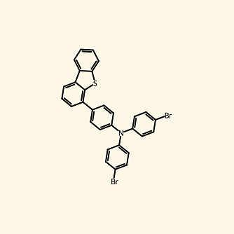 Brc1ccc(N(c2ccc(Br)cc2)c2ccc(-c3cccc4c3sc3ccccc34)cc2)cc1